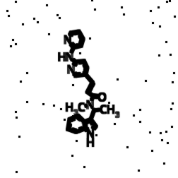 CC(c1c[nH]c2ccccc12)N(C)C(=O)C=Cc1ccc(Nc2ccccn2)nc1